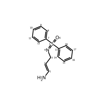 NC=CCN=S(=O)(c1ccccc1)c1ccccc1